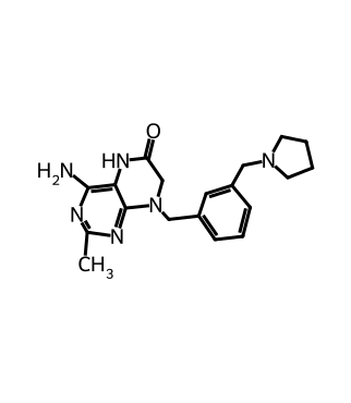 Cc1nc(N)c2c(n1)N(Cc1cccc(CN3CCCC3)c1)CC(=O)N2